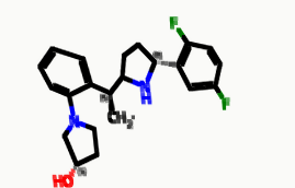 [CH2][C@@H](c1ccccc1N1CC[C@H](O)C1)C1CC[C@H](c2cc(F)ccc2F)N1